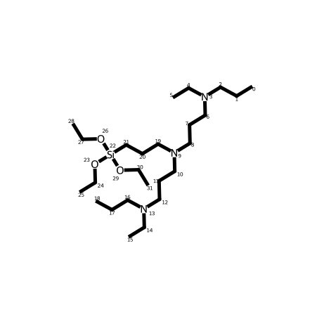 CCCN(CC)CCCN(CCCN(CC)CCC)CCC[Si](OCC)(OCC)OCC